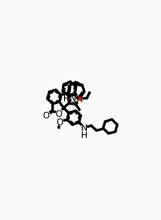 CCn1c(C)c(C2(c3ccc(NCCC4CCCCC4)cc3OC)OC(=O)c3cccc(C4=CC=CC=CN4)c32)c2ccccc21